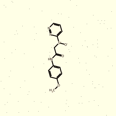 COc1ccc(NC(=O)C[S+]([O-])c2cccnn2)cc1